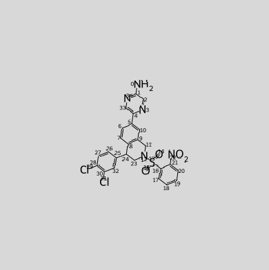 Nc1cnc(-c2ccc3c(c2)CN(S(=O)(=O)c2ccccc2[N+](=O)[O-])CC3c2ccc(Cl)c(Cl)c2)cn1